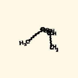 CCCCCCCCCCCCc1ccccc1OC(=O)c1ccc(CCCCCCCCC)c(O)c1O